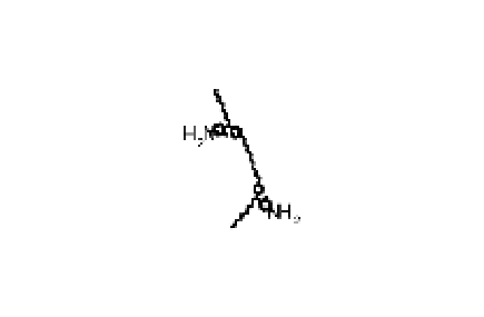 CCCCCCCCCC(c1ccc(CCCCCCCCCCCc2ccc(C(CCCCCCCCC)c3ccc(N)cc3C)cc2)cc1)c1ccc(N)cc1C